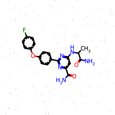 CC(Nc1cc(C(N)=O)nc(-c2ccc(Oc3ccc(F)cc3)cc2)n1)C(N)=O